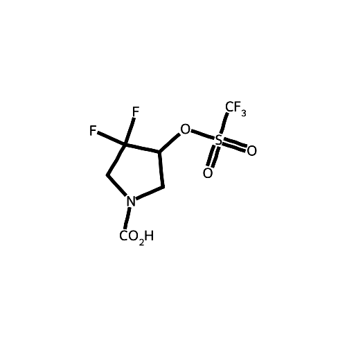 O=C(O)N1CC(OS(=O)(=O)C(F)(F)F)C(F)(F)C1